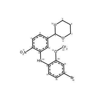 O=[N+]([O-])c1ccc(C2OCCCO2)cc1Nc1ccc(Br)cc1OC(F)(F)F